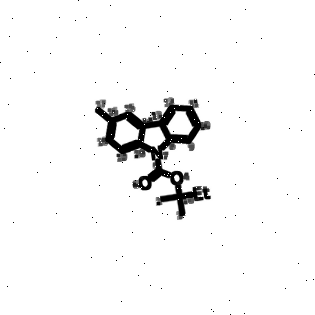 CCC(C)(C)OC(=O)n1c2ccccc2c2cc(C)ccc21